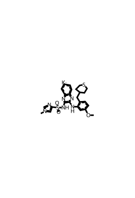 COc1ccc(CC2CCSCC2)c(Nc2nc3ccccc3nc2NS(=O)(=O)c2cn(C)cn2)c1.[K]